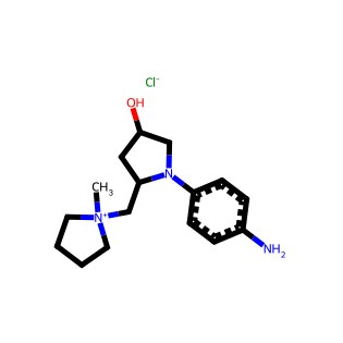 C[N+]1(CC2CC(O)CN2c2ccc(N)cc2)CCCC1.[Cl-]